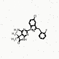 CC1(C)C(=O)Nc2nc(-n3nc(Cc4ccccc4F)c4cc(Cl)ccc43)nc(N)c21